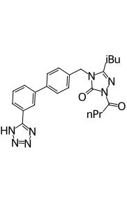 CCCC(=O)n1nc(C(C)CC)n(Cc2ccc(-c3cccc(-c4nnn[nH]4)c3)cc2)c1=O